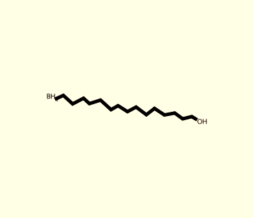 B.CCCCCCCCCCCCCCCCO